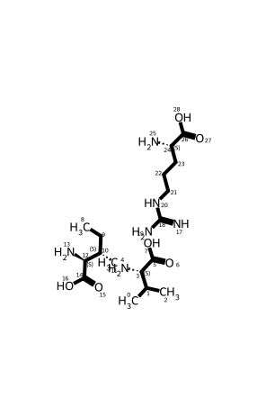 CC(C)[C@H](N)C(=O)O.CC[C@H](C)[C@H](N)C(=O)O.N=C(N)NCCC[C@H](N)C(=O)O